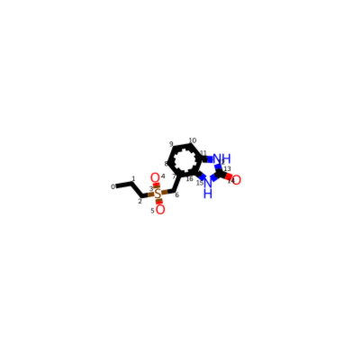 CCCS(=O)(=O)Cc1cccc2[nH]c(=O)[nH]c12